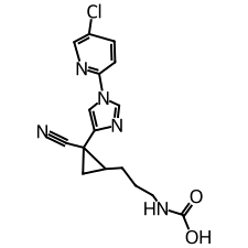 N#CC1(c2cn(-c3ccc(Cl)cn3)cn2)CC1CCCNC(=O)O